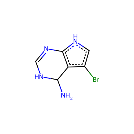 NC1NC=Nc2[nH]cc(Br)c21